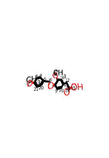 COc1ccc(COc2ccc(CC(=O)O)cc2OC)cc1